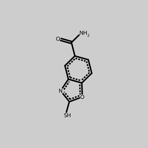 NC(=O)c1ccc2oc(S)nc2c1